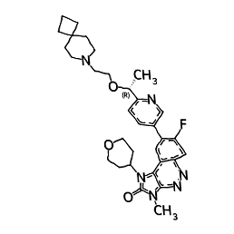 C[C@@H](OCCN1CCC2(CCC2)CC1)c1ccc(-c2cc3c(cc2F)nnc2c3n(C3CCOCC3)c(=O)n2C)cn1